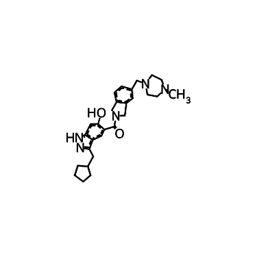 CN1CCN(Cc2ccc3c(c2)CN(C(=O)c2cc4c(CC5CCCC5)n[nH]c4cc2O)C3)CC1